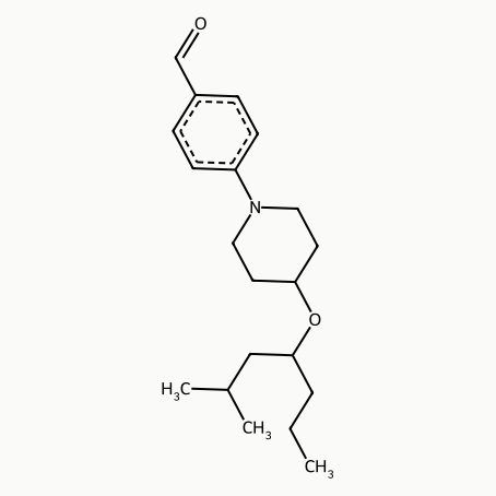 CCCC(CC(C)C)OC1CCN(c2ccc(C=O)cc2)CC1